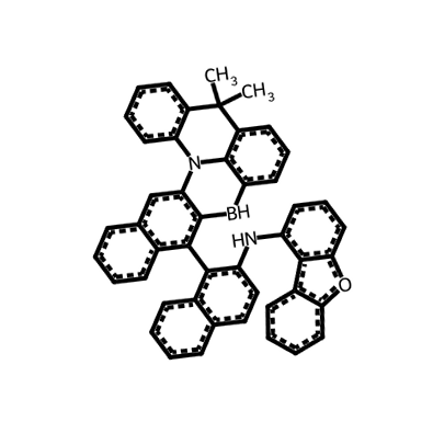 CC1(C)c2ccccc2N2c3cc4ccccc4c(-c4c(Nc5cccc6oc7ccccc7c56)ccc5ccccc45)c3Bc3cccc1c32